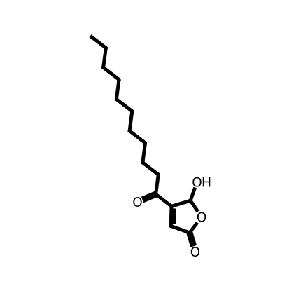 CCCCCCCCCCC(=O)C1=CC(=O)OC1O